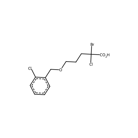 O=C(O)C(Cl)(Br)CCCOCc1ccccc1Cl